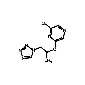 CC(Cn1cnnn1)Oc1cncc(Cl)n1